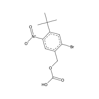 CC(C)(C)c1cc(Br)c(COC(=O)O)cc1[N+](=O)[O-]